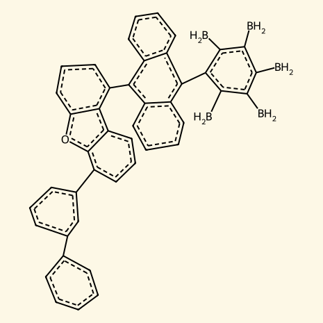 Bc1c(B)c(B)c(-c2c3ccccc3c(-c3cccc4oc5c(-c6cccc(-c7ccccc7)c6)cccc5c34)c3ccccc23)c(B)c1B